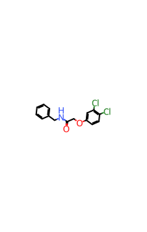 O=C(COc1ccc(Cl)c(Cl)c1)NCc1ccccc1